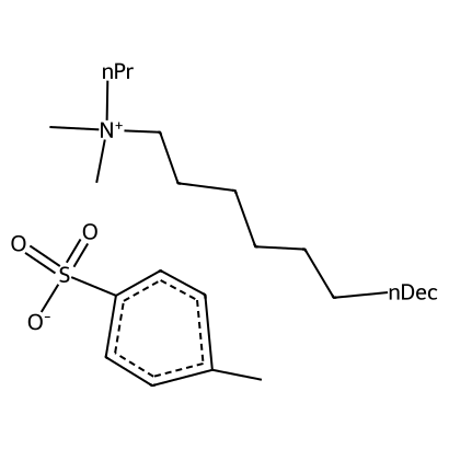 CCCCCCCCCCCCCCCC[N+](C)(C)CCC.Cc1ccc(S(=O)(=O)[O-])cc1